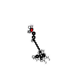 Cc1sc2c(c1C)C(c1ccc(Cl)cc1)=N[C@@H](CC(=O)NCCCCCCCCCCC(=O)N1CCC(c3cccc(NC45CCC(CC4)C(=O)NC5=O)c3)CC1)c1nnc(C)n1-2